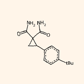 CC(C)(C)c1ccc(C2CC2(C(N)=O)C(N)=O)cc1